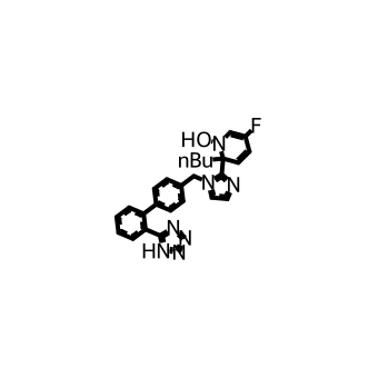 CCCCC1(c2nccn2Cc2ccc(-c3ccccc3-c3nnn[nH]3)cc2)C=CC(F)=CN1O